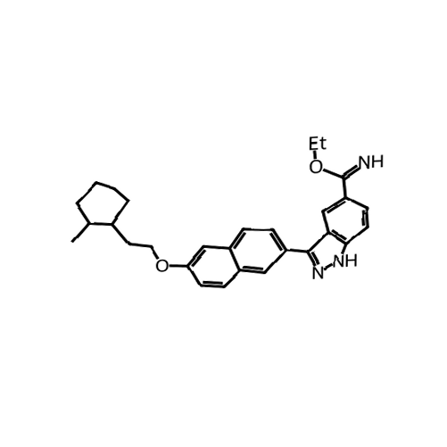 CCOC(=N)c1ccc2[nH]nc(-c3ccc4cc(OCCC5CCCCC5C)ccc4c3)c2c1